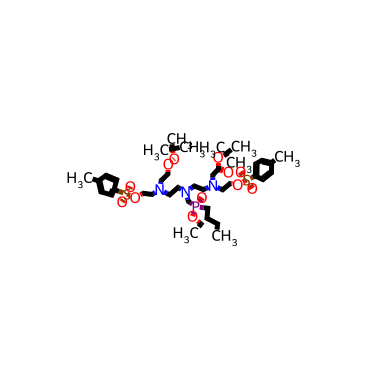 CCCCP(=O)(CN(CCN(CCOOC(C)(C)C)CCOS(=O)(=O)c1ccc(C)cc1)CCN(CCOS(=O)(=O)c1ccc(C)cc1)CC(=O)OC(C)(C)C)OCC